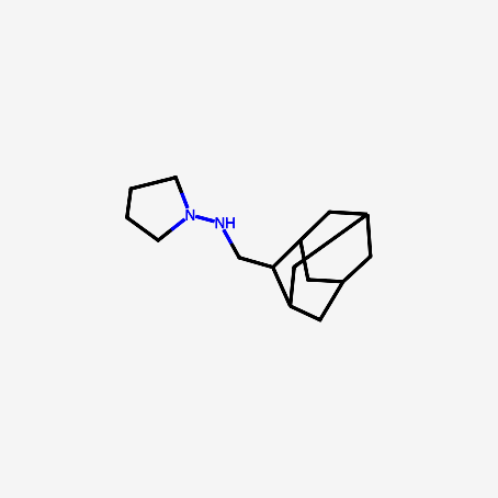 C1CCN(NCC2C3CC4CC(C3)CC2C4)C1